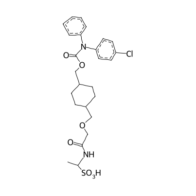 CC(NC(=O)COCC1CCC(COC(=O)N(c2ccccc2)c2ccc(Cl)cc2)CC1)S(=O)(=O)O